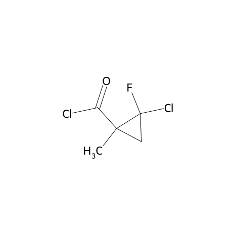 CC1(C(=O)Cl)CC1(F)Cl